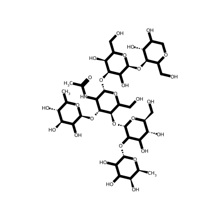 CC(=O)NC1[C@H](O[C@@H]2C(O)[C@H](O[C@@H]3C(CO)OCC(O)[C@H]3O)OC(CO)[C@@H]2O)OC(CO)[C@@H](O[C@@H]2O[C@@H](CO)[C@H](O)C(O)C2O[C@@H]2O[C@@H](C)[C@@H](O)C(O)C2O)[C@@H]1O[C@@H]1OC(C)[C@@H](O)[C@H](O)C1O